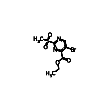 CCOC(=O)c1nc(S(C)(=O)=O)ncc1Br